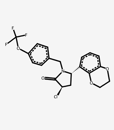 O=C1[C@H](Cl)C[C@@H](c2cccc3c2OCCO3)N1Cc1ccc(OC(F)(F)F)cc1